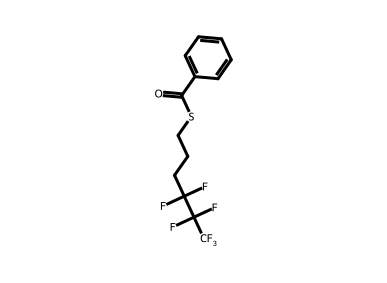 O=C(SCCCC(F)(F)C(F)(F)C(F)(F)F)c1ccccc1